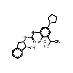 COc1c(NC(=O)N[C@@H]2Cc3ccccc3[C@@H]2O)cc(N2CCCC2)cc1C(O)C(F)(F)F